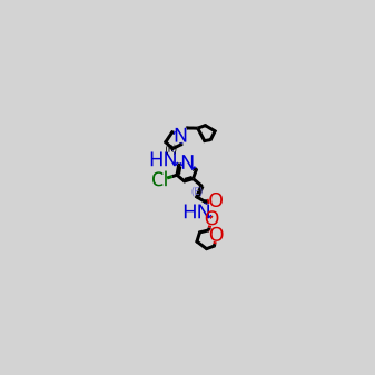 O=C(/C=C/c1cnc(N[C@@H]2CCN(CC3CCCC3)C2)c(Cl)c1)NOC1CCCCO1